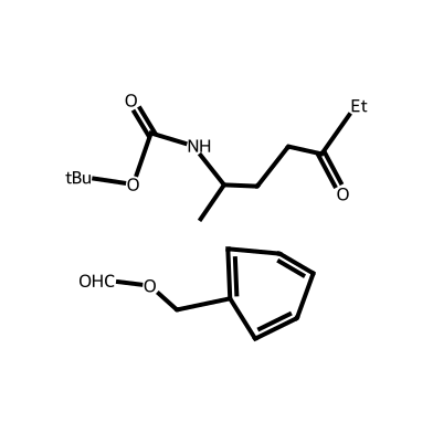 CCC(=O)CCC(C)NC(=O)OC(C)(C)C.O=COCc1ccccc1